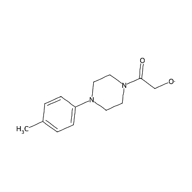 Cc1ccc(N2CCN(C(=O)C[O])CC2)cc1